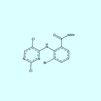 CNC(=O)c1cccc(Br)c1Nc1nc(Cl)ncc1Cl